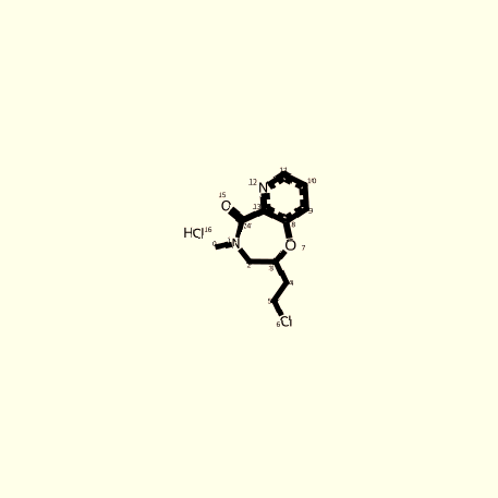 CN1CC(CCCl)Oc2cccnc2C1=O.Cl